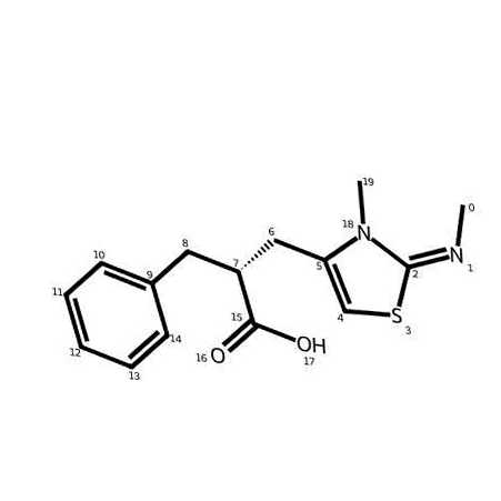 C/N=c1/scc(C[C@@H](Cc2ccccc2)C(=O)O)n1C